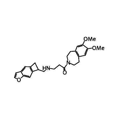 COc1cc2c(cc1OC)CCN(C(=O)CCNCC1Cc3cc4ccoc4cc31)CC2